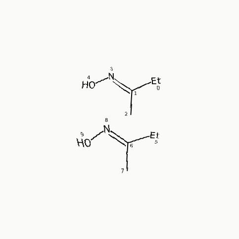 CC/C(C)=N/O.CC/C(C)=N/O